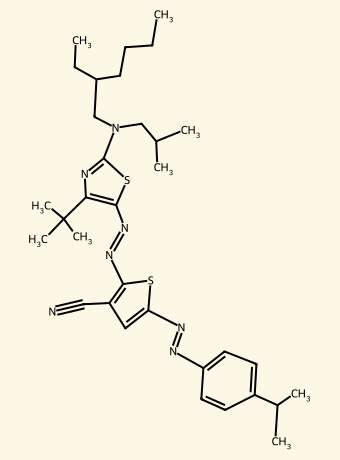 CCCCC(CC)CN(CC(C)C)c1nc(C(C)(C)C)c(N=Nc2sc(N=Nc3ccc(C(C)C)cc3)cc2C#N)s1